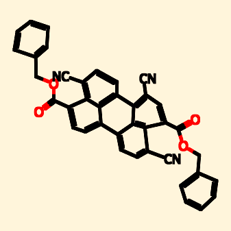 N#Cc1ccc2c3c(C#N)cc(C(=O)OCc4ccccc4)c4c(C#N)ccc(c5ccc(C(=O)OCc6ccccc6)c1c52)c43